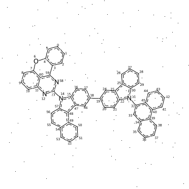 c1ccc2c(c1)Oc1cccc3nc(-n4c5ccc(-c6ccc7c(c6)c6ccccc6n7-c6cc7ccccc7c7ccccc67)cc5c5c6ccccc6ccc54)nc-2c13